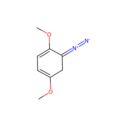 COC1=CC=C(OC)C(=[N+]=[N-])C1